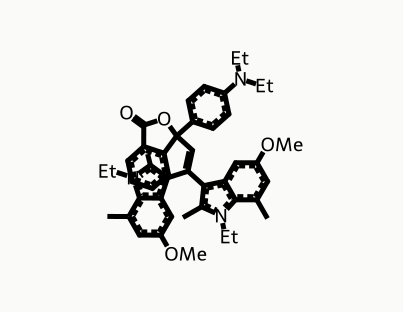 CCN(CC)c1ccc(C2(C=C(c3c(C)n(CC)c4c(C)cc(OC)cc34)c3c(C)n(CC)c4c(C)cc(OC)cc34)OC(=O)c3ccccc32)cc1